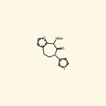 CNC1C(=O)N(c2ccsc2)CCc2ccsc21